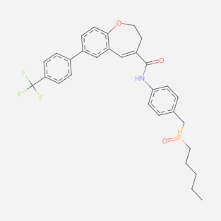 CCCCC[PH](=O)Cc1ccc(NC(=O)C2=Cc3cc(-c4ccc(C(F)(F)F)cc4)ccc3OCC2)cc1